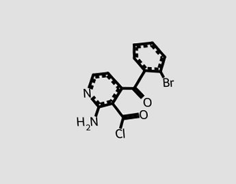 Nc1nccc(C(=O)c2ccccc2Br)c1C(=O)Cl